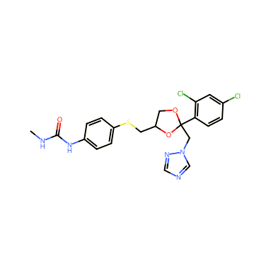 CNC(=O)Nc1ccc(SCC2COC(Cn3cncn3)(c3ccc(Cl)cc3Cl)O2)cc1